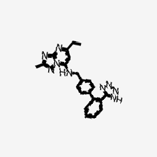 CCc1cc(NCc2ccc(-c3ccccc3-c3nnn[nH]3)cc2)n2nc(C)nc2n1